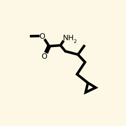 COC(=O)C(N)CC(C)CCC1CC1